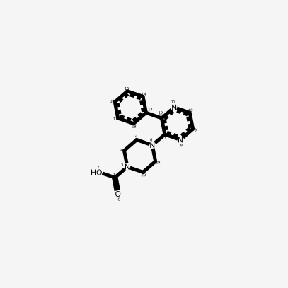 O=C(O)N1CCN(c2nccnc2-c2ccccc2)CC1